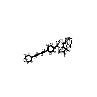 CC(O)(C(F)F)C(NC(=O)c1ccc(C#CC#CC2CCOCC2)cc1)C(=O)NO